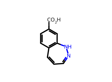 O=C(O)c1ccc2c(c1)NN=CC=C2